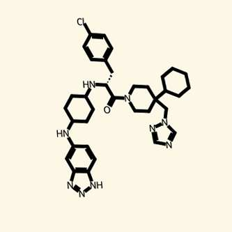 O=C([C@@H](Cc1ccc(Cl)cc1)NC1CCC(Nc2ccc3[nH]nnc3c2)CC1)N1CCC(Cn2cncn2)(C2CCCCC2)CC1